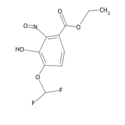 CCOC(=O)c1ccc(OC(F)F)c(O)c1N=O